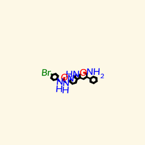 NC(=O)C(=Cc1c[nH]c2nc(NC(=O)Nc3ccc(Br)cc3)ccc12)c1ccccc1